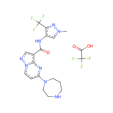 Cn1cc(NC(=O)c2cnn3ccc(N4CCCNCC4)nc23)c(C(F)(F)F)n1.O=C(O)C(F)(F)F